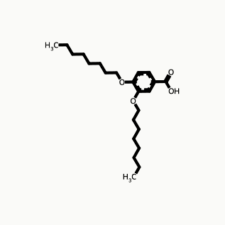 CCCCCCCCOc1ccc(C(=O)O)cc1OCCCCCCCC